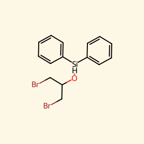 BrCC(CBr)O[SiH](c1ccccc1)c1ccccc1